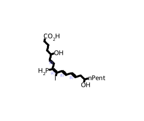 CCCCCC(O)C/C=C/C=C/C(I)=C(P)\C=C\C(O)CCCC(=O)O